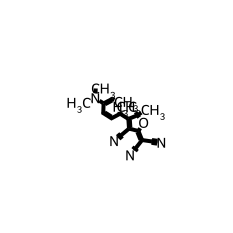 C=C(/C=C\C(=C/C)N(C)C)C1=C(C#N)C(=C(C#N)C#N)OC1(C)C